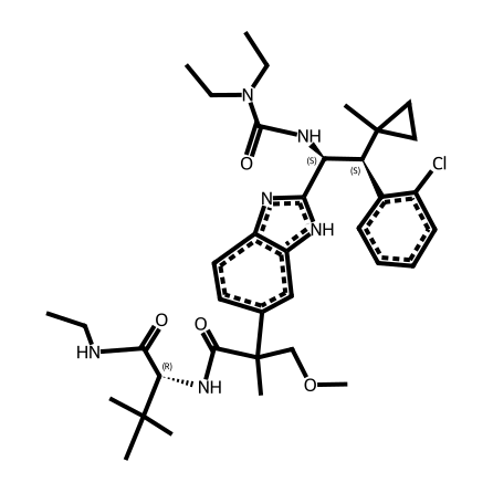 CCNC(=O)[C@H](NC(=O)C(C)(COC)c1ccc2nc([C@@H](NC(=O)N(CC)CC)[C@H](c3ccccc3Cl)C3(C)CC3)[nH]c2c1)C(C)(C)C